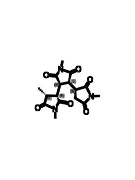 C[C@H]1C(=O)N(C)C(=O)[C@H]1[C@H]1C(=O)N(C)C(=O)[C@H]1[C@@H]1CC(=O)N(C)C1=O